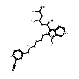 C[C@H](CC(=O)O)CC(O)c1c(CCCCOCc2cccc(C#N)c2)n(C)c2cnccc12